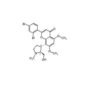 COc1cc(OC)c2c(=O)cc(-c3ccc(Br)cc3Br)oc2c1[C@H]1CCN(C)[C@@H]1CO